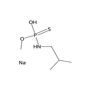 COP(O)(=S)NCC(C)C.[Na]